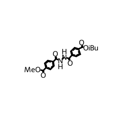 COC(=O)c1ccc(C(=O)NNC(=O)c2ccc(C(=O)OCC(C)C)cc2)cc1